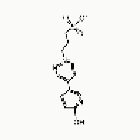 O=S(=O)([O-])CCC[n+]1ccc(-c2ccc(O)nn2)cn1